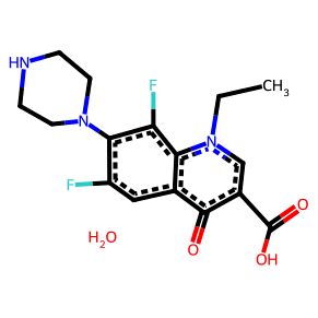 CCn1cc(C(=O)O)c(=O)c2cc(F)c(N3CCNCC3)c(F)c21.O